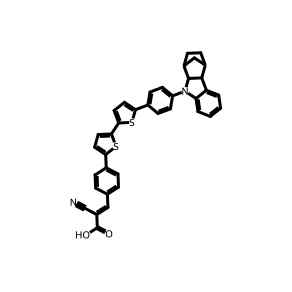 N#C/C(=C\c1ccc(-c2ccc(-c3ccc(-c4ccc(N5c6ccccc6C6C7CCC(C7)C65)cc4)s3)s2)cc1)C(=O)O